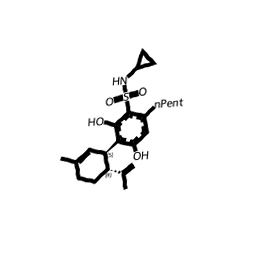 C=C(C)[C@@H]1CCC(C)=C[C@H]1c1c(O)cc(CCCCC)c(S(=O)(=O)NC2CC2)c1O